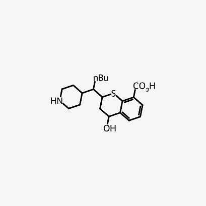 CCCCC(C1CCNCC1)C1CC(O)c2cccc(C(=O)O)c2S1